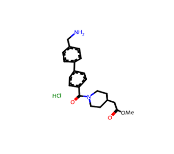 COC(=O)CC1CCN(C(=O)c2ccc(-c3ccc(CN)cc3)cc2)CC1.Cl